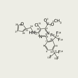 COC(=O)c1nc(-c2ccc(C(F)(F)F)cc2C(F)(F)F)nc(NCc2ccco2)c1Cl